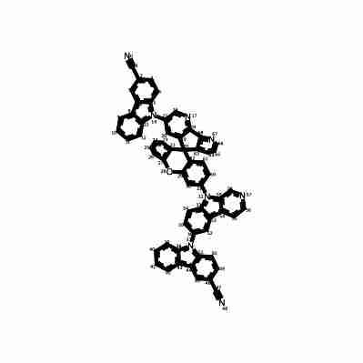 N#Cc1ccc2c(c1)c1ccccc1n2-c1cnc2c(c1)C1(c3ccccc3Oc3cc(-n4c5ccc(-n6c7ccccc7c7cc(C#N)ccc76)cc5c5ccncc54)ccc31)c1cccnc1-2